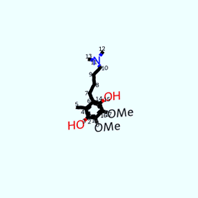 COc1c(O)c(C)c(CCCCN(C)C)c(O)c1OC